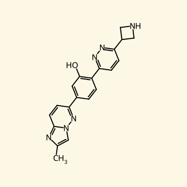 Cc1cn2nc(-c3ccc(-c4ccc(C5CNC5)nn4)c(O)c3)ccc2n1